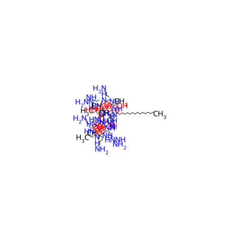 CCCCCCCCCCCCCCCC(=O)N[C@@H](Cc1ccc(O)cc1)C(=O)N[C@H](C(=O)N[C@@H](CCCCN)C(=O)N[C@@H](CCCNC(=N)N)C(=O)N[C@@H](CC(C)C)C(=O)N[C@@H](CC(=O)O)C(=O)N[C@@H](CO)C(=O)N[C@@H](Cc1cnc[nH]1)C(=O)N[C@@H](CCCNC(=N)N)C(=O)N[C@@H](CCCCN)C(=O)N[C@@H](CC(C)C)C(=O)N[C@@H](CCCCN)C(=O)N[C@@H](CCSC)C(N)=O)[C@@H](C)O